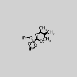 C=C(C)C(C)OC(CC)[Si](OC(C)C)(OC(C)C)OC(C)C